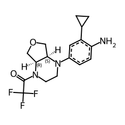 Nc1ccc(N2CCN(C(=O)C(F)(F)F)[C@H]3COC[C@H]32)cc1C1CC1